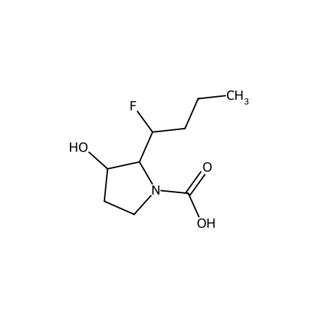 CCCC(F)C1C(O)CCN1C(=O)O